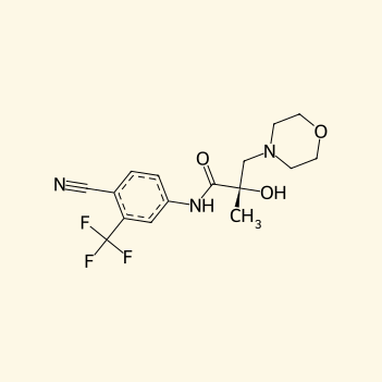 C[C@](O)(CN1CCOCC1)C(=O)Nc1ccc(C#N)c(C(F)(F)F)c1